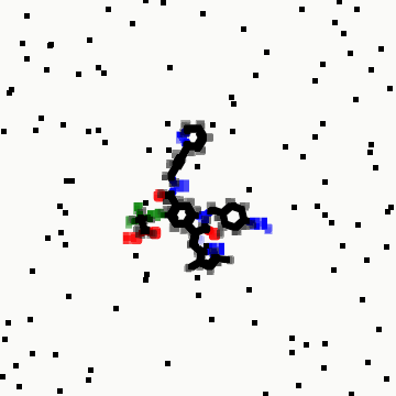 Cc1cc(C)c(/C=C2\C(=O)N(CC3CCC(N)CC3)c3cc(C(=O)NCC#Cc4ccccn4)c(F)cc32)[nH]1.O=C(O)C(F)(F)F